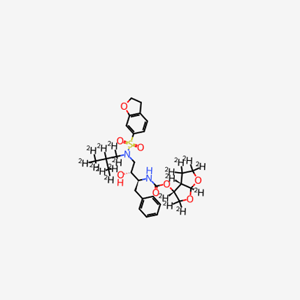 [2H]C([2H])([2H])C([2H])(C([2H])([2H])[2H])C([2H])([2H])N(C[C@@H](O)[C@H](Cc1ccccc1)NC(=O)O[C@@]1([2H])C([2H])([2H])O[C@@]2([2H])OC([2H])([2H])C([2H])([2H])[C@]21[2H])S(=O)(=O)c1ccc2c(c1)OCC2